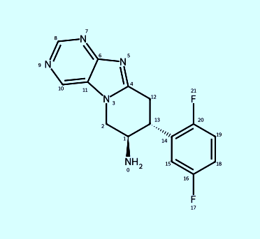 N[C@H]1Cn2c(nc3ncncc32)C[C@@H]1c1cc(F)ccc1F